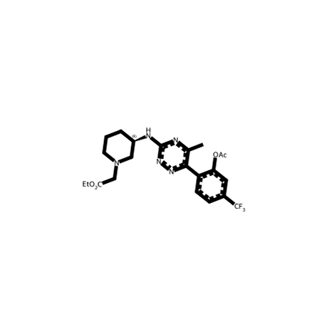 CCOC(=O)CN1CCC[C@@H](Nc2nnc(-c3ccc(C(F)(F)F)cc3OC(C)=O)c(C)n2)C1